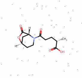 C[C@@H](CCC(=O)N1CC[C@@H]2C[C@@H]1C(=O)O2)C(=O)O